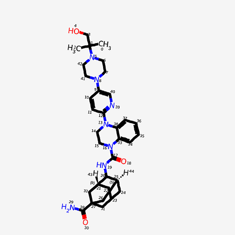 CC(C)(CO)N1CCN(c2ccc(N3CCN(C(=O)NC4[C@@H]5CC6C[C@H]4CC(C(N)=O)(C6)C5)c4ccccc43)nc2)CC1